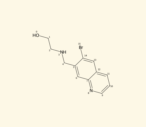 OCCNCc1cc2ncccc2cc1Br